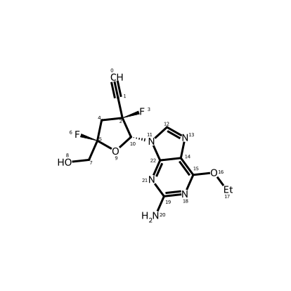 C#C[C@@]1(F)C[C@@](F)(CO)O[C@H]1n1cnc2c(OCC)nc(N)nc21